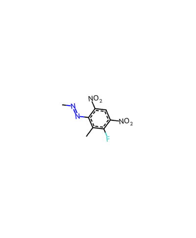 C/N=N/c1c([N+](=O)[O-])cc([N+](=O)[O-])c(F)c1C